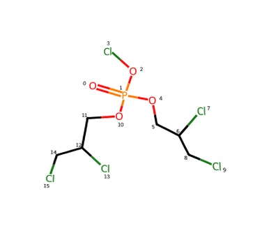 O=P(OCl)(OCC(Cl)CCl)OCC(Cl)CCl